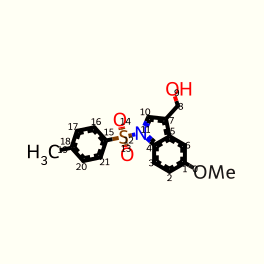 COc1ccc2c(c1)c(CO)cn2S(=O)(=O)c1ccc(C)cc1